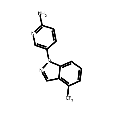 Nc1ccc(-n2ncc3c(C(F)(F)F)cccc32)cn1